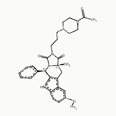 COc1ccc2[nH]c3c(c2c1)C[C@@]1(C)C(=O)N(CCCN2CCN(C(C)=O)CC2)C(=O)N1[C@@H]3c1ccccc1